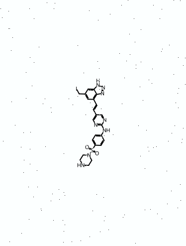 O=S(=O)(c1ccc(Nc2ncc(/C=C/c3cc(CI)cc4[nH]nnc34)cn2)cc1)N1CCNCC1